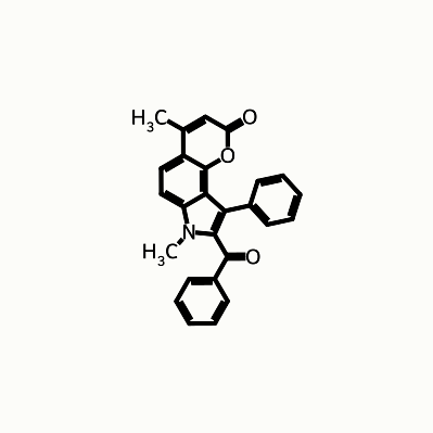 Cc1cc(=O)oc2c1ccc1c2c(-c2ccccc2)c(C(=O)c2ccccc2)n1C